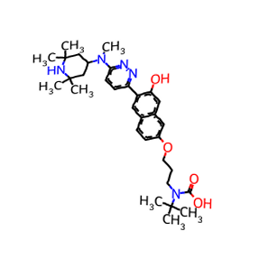 CN(c1ccc(-c2cc3ccc(OCCCN(C(=O)O)C(C)(C)C)cc3cc2O)nn1)C1CC(C)(C)NC(C)(C)C1